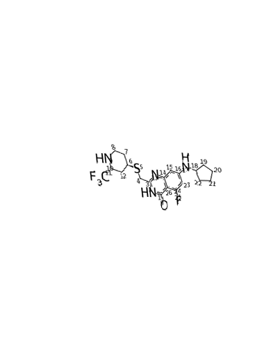 O=c1[nH]c(CS[C@@H]2CCN[C@@H](C(F)(F)F)C2)nc2cc(NC3CCCC3)cc(F)c12